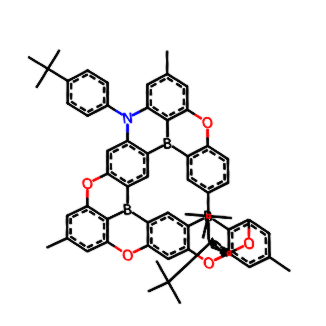 Cc1cc2c3c(c1)Oc1cc4c(cc1B3c1cc(C(C)(C)C)ccc1O2)B1c2cc3c(cc2Oc2cc(C)cc(c21)O4)N(c1ccc(C(C)(C)C)cc1)c1cc(C)cc2c1B3c1cc(C(C)(C)C)ccc1O2